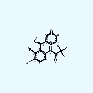 CC(C)(C)C(=O)Nc1ccc(F)c(F)c1C(=O)c1cccnc1